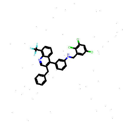 FC(F)(F)c1cccc2c(-c3cccc(NCc4cc(Cl)cc(Cl)c4Cl)c3)c(Cc3ccccc3)cnc12